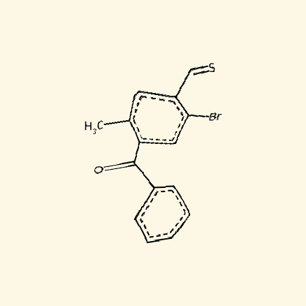 Cc1cc(C=S)c(Br)cc1C(=O)c1ccccc1